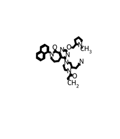 C=CC(=O)N1CCN(c2nc(OCC3CCCN3C)nc3c2CCCN(c2cccc4ccccc24)C3=O)CC1CC#N